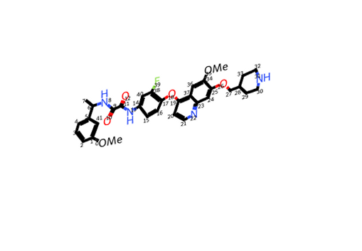 COc1cccc(C(C)NC(=O)C(=O)Nc2ccc(Oc3ccnc4cc(OCC5CCNCC5)c(OC)cc34)c(F)c2)c1